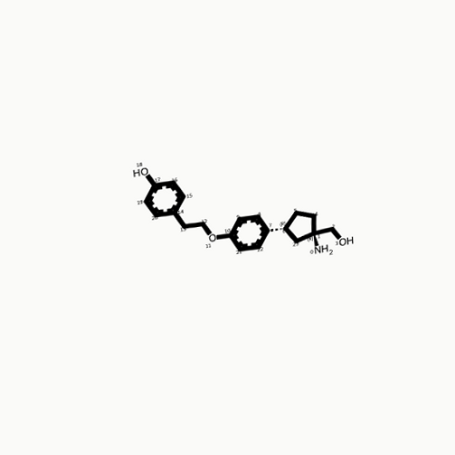 N[C@]1(CO)CC[C@@H](c2ccc(OCCc3ccc(O)cc3)cc2)C1